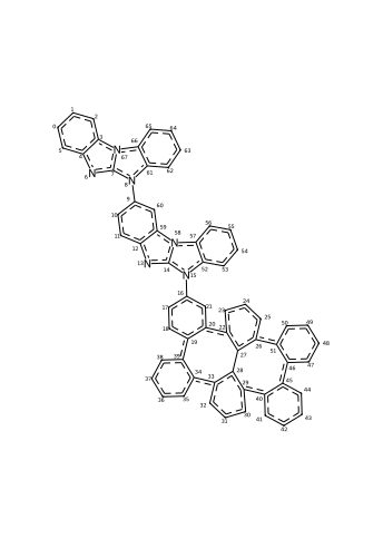 c1ccc2c(c1)nc1n(-c3ccc4nc5n(-c6ccc7c(c6)c6cccc8c6-c6c(cccc6c6ccccc67)c6ccccc6c6ccccc86)c6ccccc6n5c4c3)c3ccccc3n21